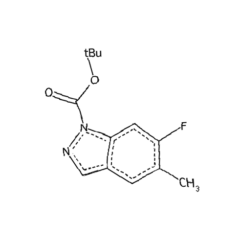 Cc1cc2cnn(C(=O)OC(C)(C)C)c2cc1F